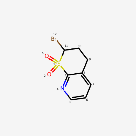 O=S1(=O)c2ncccc2CCC1Br